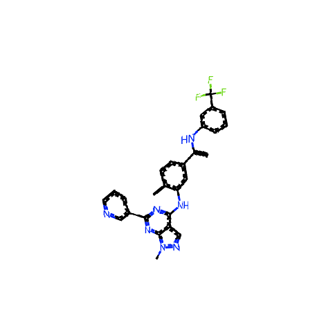 C=C(Nc1cccc(C(F)(F)F)c1)c1ccc(C)c(Nc2nc(-c3cccnc3)nc3c2cnn3C)c1